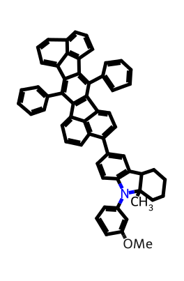 COc1cccc(N2c3ccc(-c4ccc5c6c(-c7ccccc7)c7c8cccc9cccc(c7c(-c7ccccc7)c6c6cccc4c65)c98)cc3C3CCCCC32C)c1